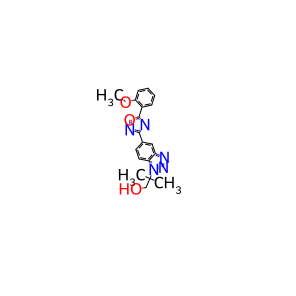 COc1ccccc1-c1nc(-c2ccc3c(c2)nnn3C(C)(C)CO)no1